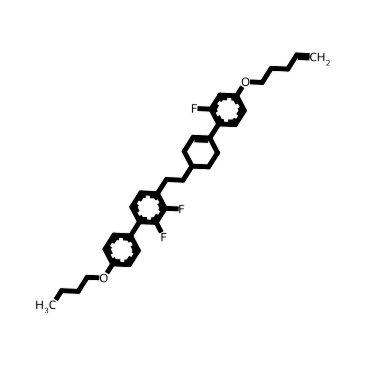 C=CCCCOc1ccc(C2=CCC(CCc3ccc(-c4ccc(OCCCC)cc4)c(F)c3F)CC2)c(F)c1